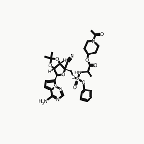 CC(=O)N1CCC(OC(=O)C(C)NP(=O)(OC[C@@]2(C#N)O[C@@H](c3ccc4c(N)ncnn34)[C@@H]3OC(C)(C)O[C@@H]32)Oc2ccccc2)CC1